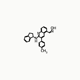 Cc1ccc(-c2cc3c(/C=N\O)cccc3nc2N[C@@H]2CCc3ccccc32)cc1